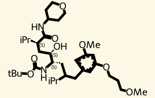 COCCCOc1cc(CC(C[C@H](NC(=O)OC(C)(C)C)[C@@H](O)C[C@H](C(=O)NC2CCOCC2)C(C)C)C(C)C)cc(OC)c1